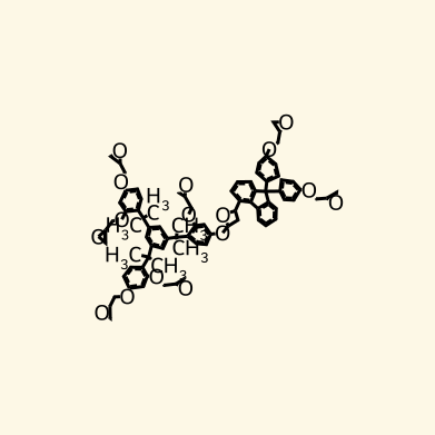 CC(C)(c1cc(C(C)(C)c2ccc(OCC3CO3)cc2OCC2CO2)cc(C(C)(C)c2ccc(OC3CC(c4cccc5c4-c4ccccc4C5(c4ccc(OCC5CO5)cc4)c4ccc(OCC5CO5)cc4)O3)cc2OCC2CO2)c1)c1ccc(OCC2CO2)cc1OCC1CO1